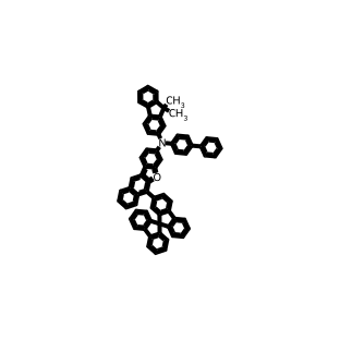 CC1(C)c2ccccc2-c2ccc(N(c3ccc(-c4ccccc4)cc3)c3ccc4c(c3)oc3c(-c5ccc6c(c5)C5(c7ccccc7-c7ccccc75)c5ccccc5-6)c5ccccc5cc34)cc21